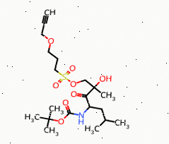 C#CCOCCCS(=O)(=O)OCC(C)(O)C(=O)C(CC(C)C)NC(=O)OC(C)(C)C